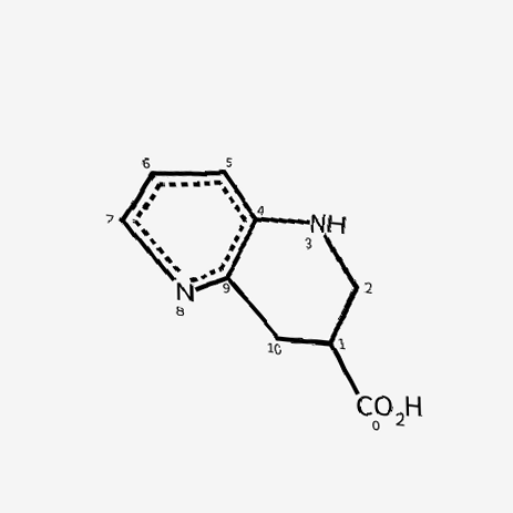 O=C(O)C1CNc2cccnc2C1